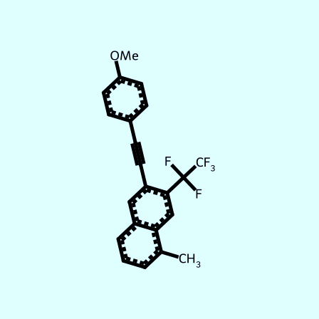 COc1ccc(C#Cc2cc3cccc(C)c3cc2C(F)(F)C(F)(F)F)cc1